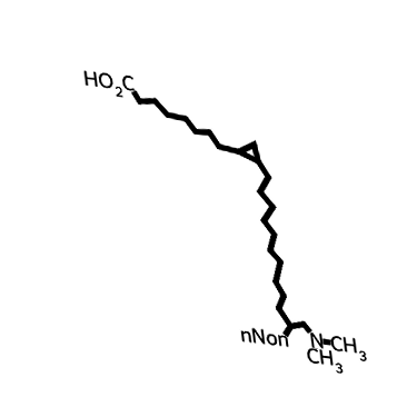 CCCCCCCCCC(CCCCCCCCCCC1CC1CCCCCCCC(=O)O)CN(C)C